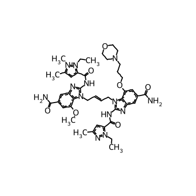 CCn1nc(C)cc1C(=O)Nc1nc2cc(C(N)=O)cc(OCCCN3CCOCC3)c2n1C/C=C/Cn1c(NC(=O)c2cc(C)[n+](C)n2CC)nc2cc(C(N)=O)cc(OC)c21